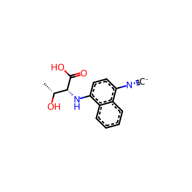 [C-]#[N+]c1ccc(N[C@@H](C(=O)O)[C@@H](C)O)c2ccccc12